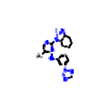 CC(=O)c1cnc(N[C@@H]2CCCC[C@@H]2N)nc1Nc1cccc(-n2ncnn2)c1